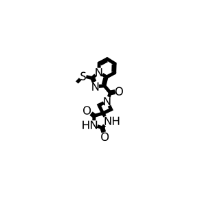 CSc1nc(C(=O)N2CC3(C2)NC(=O)NC3=O)c2ccccn12